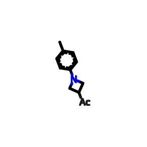 CC(=O)C1CN(c2ccc(C)cc2)C1